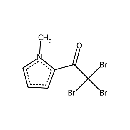 Cn1cccc1C(=O)C(Br)(Br)Br